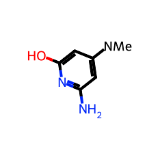 CNc1cc(N)nc(O)c1